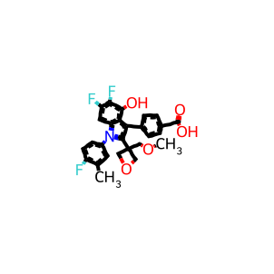 COCC1(c2c(-c3ccc(C(=O)O)cc3)c3c(O)c(F)c(F)cc3n2-c2ccc(F)c(C)c2)COC1